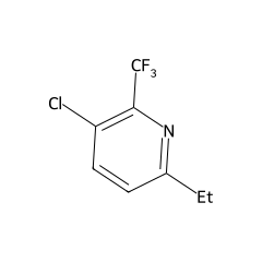 CCc1ccc(Cl)c(C(F)(F)F)n1